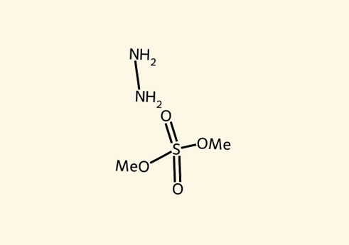 COS(=O)(=O)OC.NN